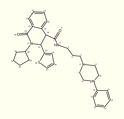 O=C(NCCCN1CCN(c2ccccc2)CC1)C1c2ccccc2C(=O)N(C2CCCC2)C1c1cccs1